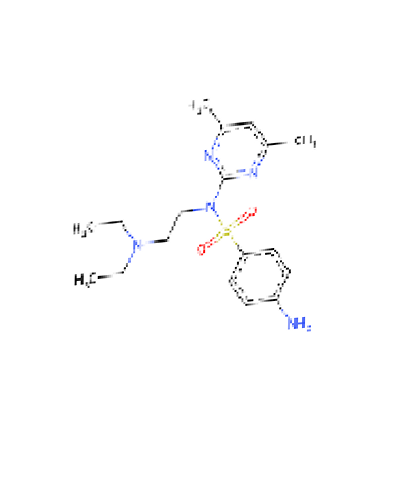 CCN(CC)CCN(c1nc(C)cc(C)n1)S(=O)(=O)c1ccc(N)cc1